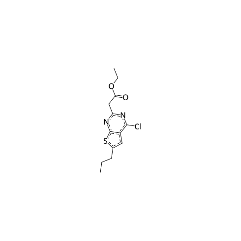 CCCc1cc2c(Cl)nc(CC(=O)OCC)nc2s1